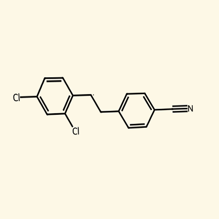 N#Cc1ccc(C[CH]c2ccc(Cl)cc2Cl)cc1